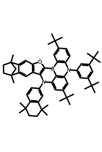 CC(C)(C)c1cc(N2c3ccc(C(C)(C)C)cc3B3c4oc5cc6c(cc5c4N(c4ccc5c(c4)C(C)(C)CCC5(C)C)c4cc(C(C)(C)C)cc2c43)C2(C)CCC6(C)C2)cc(C(C)(C)C)c1